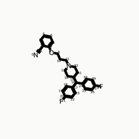 N#Cc1ccccc1OCCCN1CCC(C(c2ccc(F)cc2)c2ccc(F)cc2)CC1